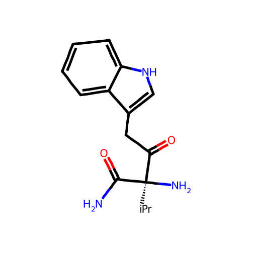 CC(C)[C@](N)(C(N)=O)C(=O)Cc1c[nH]c2ccccc12